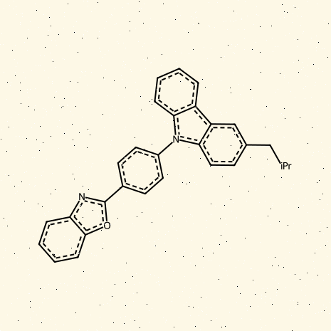 CC(C)Cc1ccc2c(c1)c1ccccc1n2-c1ccc(-c2nc3ccccc3o2)cc1